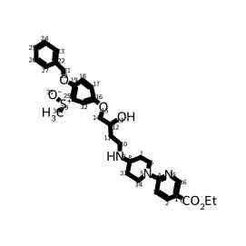 CCOC(=O)c1ccc(N2CCC(NCCC(O)COc3ccc(OCc4ccccc4)c([S+](C)[O-])c3)CC2)nc1